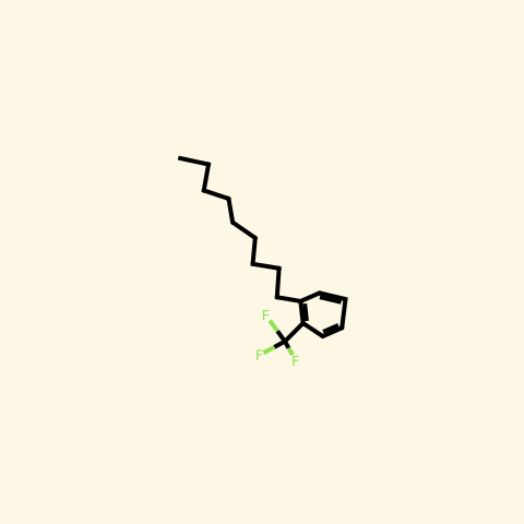 CCCCCCCCCc1[c]cccc1C(F)(F)F